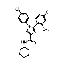 COc1cc(Cl)ccc1-c1nc(C(=O)NC2CCCCC2)cn1-c1ccc(Cl)cc1